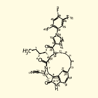 CCCC[C@H]1C(=O)N2C[C@]3(C[C@H]2C#N)C(=O)Nc2ccc(cc23)CCCCCN1C(=O)c1cn(-c2cc(F)c(F)cc2F)nn1